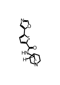 O=C(N[C@H]1CN2CCC1CC2)c1ccc(-c2cnco2)s1